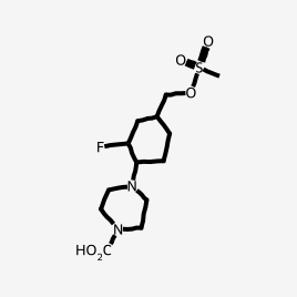 CS(=O)(=O)OCC1CCC(N2CCN(C(=O)O)CC2)C(F)C1